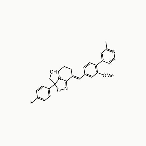 COc1cc(/C=C2\CCCN3C2=NOC3(CO)c2ccc(F)cc2)ccc1-c1ccnc(C)c1